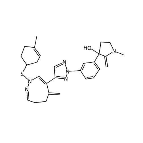 C=C1CC/C=N\N(SC2CC=C(C)CC2)/C=C\1c1cnn(-c2cccc(C3(O)CCN(C)C3=C)c2)n1